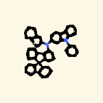 c1ccc(-n2c3ccccc3c3ccc(N(c4ccc5ccccc5c4)c4cccc5c4-c4ccccc4C5(c4ccccc4)c4ccccc4)cc32)cc1